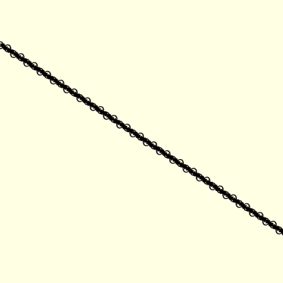 COCCOCCOCCOCCOCCOCCOCCOCCOCCOCCOCCOCCOCCOCCOCCOCCOCCOCCOCCOCCOCCOCCOCCOCCOCCOCCOCCOCCOCCOCCOCCOCCOCCOCCOCCOCCOCCOCCOCCOCCOCCOCCOCCN